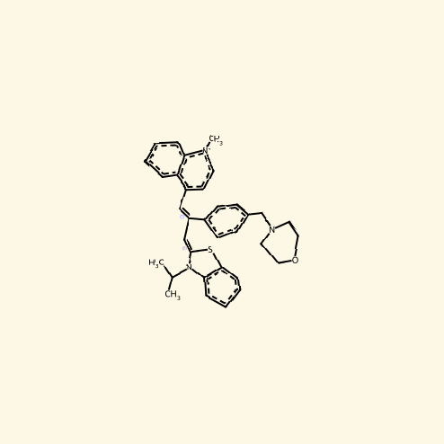 CC(C)N1/C(=C/C(=C/c2cc[n+](C)c3ccccc23)c2ccc(CN3CCOCC3)cc2)Sc2ccccc21